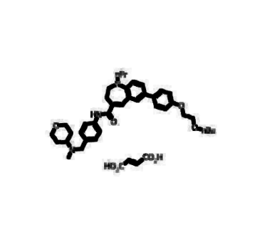 CCCCOCCOc1ccc(-c2ccc3c(c2)C=C(C(=O)Nc2ccc(CN(C)C4CCOCC4)cc2)CCN3CCC)cc1.O=C(O)C=CC(=O)O